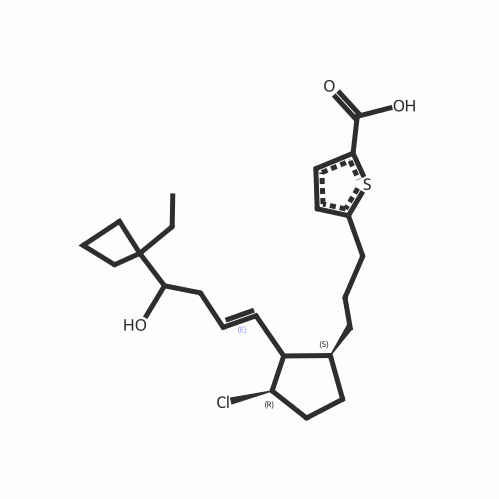 CCC1(C(O)C/C=C/C2[C@@H](CCCc3ccc(C(=O)O)s3)CC[C@H]2Cl)CCC1